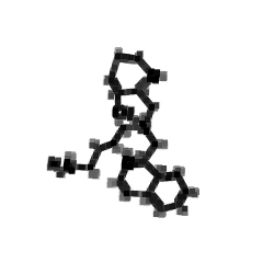 Cc1cccnc1CN(CCCCN)Cc1nccc2ccccc12